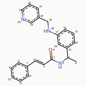 CC(NC(=O)C=Cc1ccccc1)c1cccc(NCc2cccnc2)c1